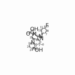 CC(C)c1nn(-c2ccc(F)cc2)c2nc(C(=O)O)cc(N3CCC[C@@H](O)C3)c12